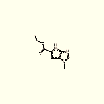 CCOC(=O)c1cc2c(ncn2C)[nH]1